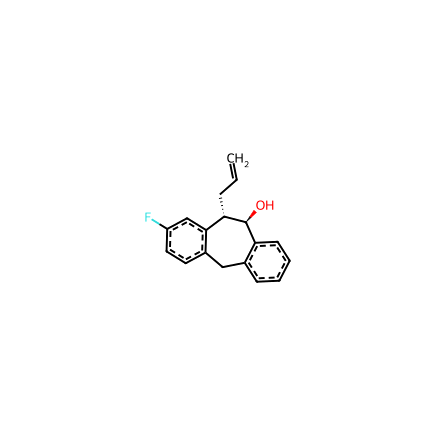 C=CC[C@H]1c2cc(F)ccc2Cc2ccccc2[C@@H]1O